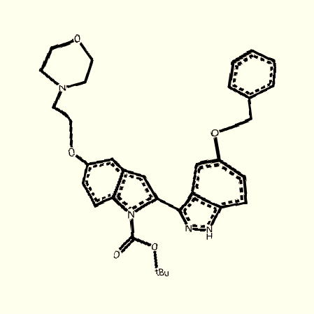 CC(C)(C)OC(=O)n1c(-c2n[nH]c3ccc(OCc4ccccc4)cc23)cc2cc(OCCN3CCOCC3)ccc21